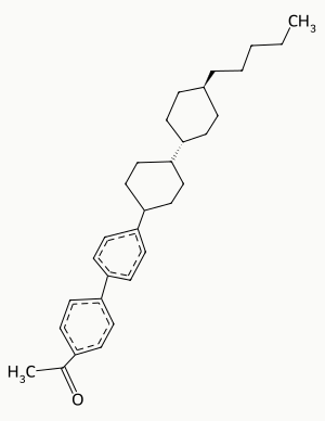 CCCCC[C@H]1CC[C@H](C2CCC(c3ccc(-c4ccc(C(C)=O)cc4)cc3)CC2)CC1